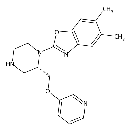 Cc1cc2nc(N3CCNC[C@H]3COc3cccnc3)oc2cc1C